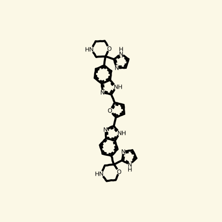 c1c[nH]c(C2(c3ccc4nc(-c5ccc(-c6nc7ccc(C8(c9ncc[nH]9)CNCCO8)cc7[nH]6)o5)[nH]c4c3)CNCCO2)n1